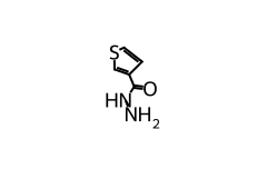 NNC(=O)c1ccsc1